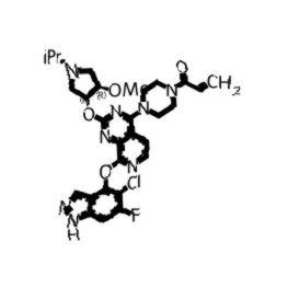 C=CC(=O)N1CCN(c2nc(O[C@@H]3CN(C(C)C)C[C@H]3OC)nc3c(Oc4c(Cl)c(F)cc5[nH]ncc45)nccc23)CC1